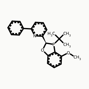 COc1cccc2c1P(C(C)(C)C)[C@H](c1cccc(-c3ccccc3)n1)O2